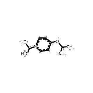 CC(C)Oc1cc[n+](C(C)C)cc1